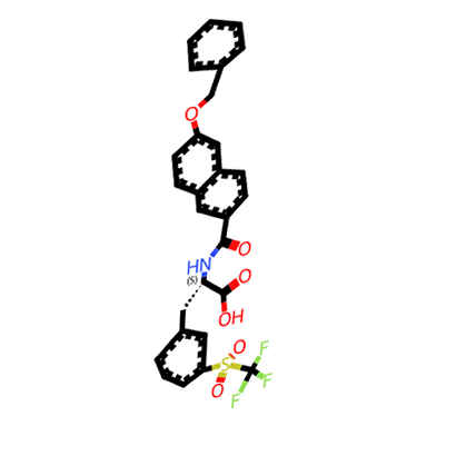 O=C(N[C@@H](Cc1cccc(S(=O)(=O)C(F)(F)F)c1)C(=O)O)c1ccc2cc(OCc3ccccc3)ccc2c1